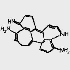 N=c1ccc2c3c1C(N)=CCC=c3c1ccc(N)c3[nH]ccc2c31